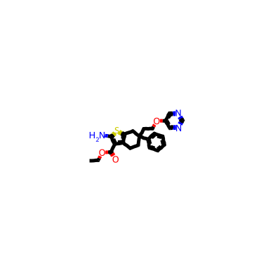 CCOC(=O)c1c(N)sc2c1CCC(CCOc1cncnc1)(c1ccccc1)C2